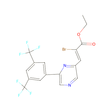 CCOC(=O)/C(Br)=C/c1cncc(-c2cc(C(F)(F)F)cc(C(F)(F)F)c2)n1